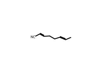 CC=CCCC=CC#N